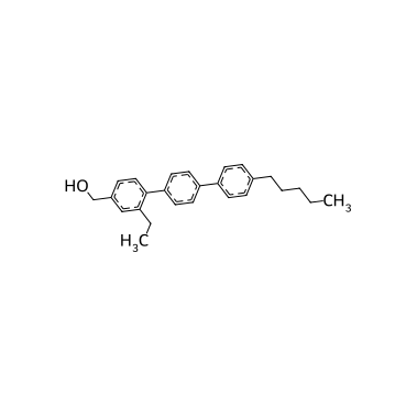 CCCCCc1ccc(-c2ccc(-c3ccc(CO)cc3CC)cc2)cc1